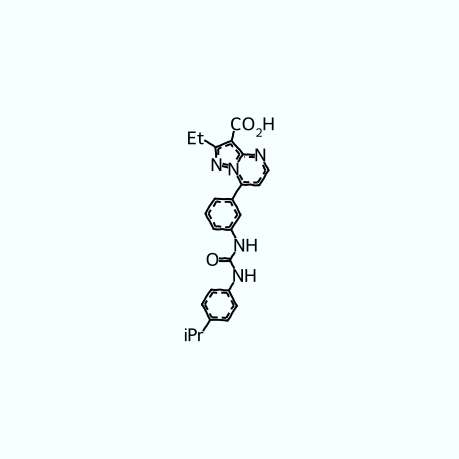 CCc1nn2c(-c3cccc(NC(=O)Nc4ccc(C(C)C)cc4)c3)ccnc2c1C(=O)O